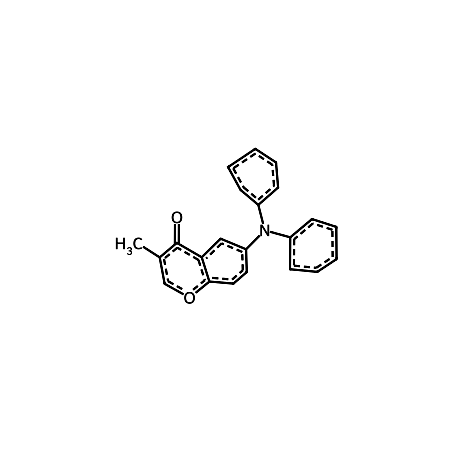 Cc1coc2ccc(N(c3ccccc3)c3ccccc3)cc2c1=O